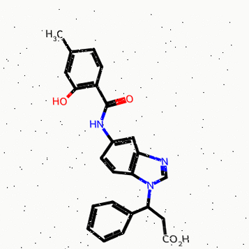 Cc1ccc(C(=O)Nc2ccc3c(c2)ncn3C(CC(=O)O)c2ccccc2)c(O)c1